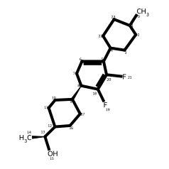 CC1CCC(C2=CC[C@H](C3CCC([C@H](C)O)CC3)C(F)=C2F)CC1